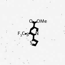 COC(=O)c1cnc(-c2cccs2)c(SC(F)(F)F)c1